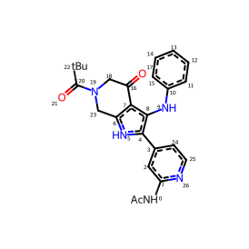 CC(=O)Nc1cc(-c2[nH]c3c(c2Nc2ccccc2)C(=O)CN(C(=O)C(C)(C)C)C3)ccn1